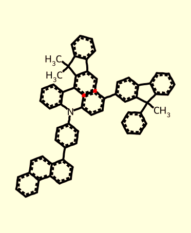 CC1(C)c2ccccc2-c2cccc(-c3ccccc3N(c3ccc(-c4ccc5c(c4)C(C)(c4ccccc4)c4ccccc4-5)cc3)c3ccc(-c4cccc5c4ccc4ccccc45)cc3)c21